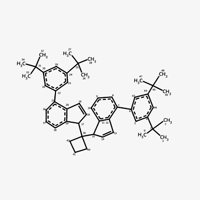 CC(C)(C)c1cc(-c2cccc3c2C=CC3C2(C3C=Cc4c(-c5cc(C(C)(C)C)cc(C(C)(C)C)c5)cccc43)CCC2)cc(C(C)(C)C)c1